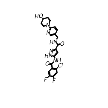 O=C(NCc1ccc(N2CCC(O)CC2)nc1)c1cc(NC(=O)c2cc(F)c(F)cc2Cl)[nH]n1